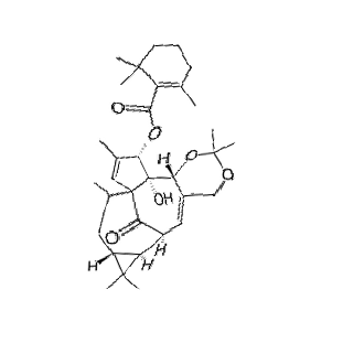 CC1=CC23C(=O)[C@@H](C=C4COC(C)(C)O[C@H]4[C@]2(O)[C@H]1OC(=O)C1=C(C)CCCC1(C)C)[C@@H]1[C@@H](CC3C)C1(C)C